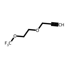 C#CCOCCOC(F)(F)F